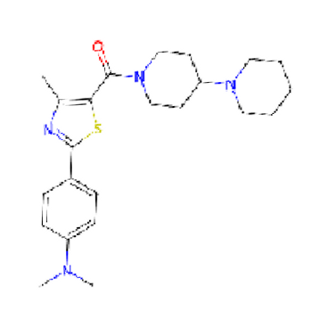 Cc1nc(-c2ccc(N(C)C)cc2)sc1C(=O)N1CCC(N2CCCCC2)CC1